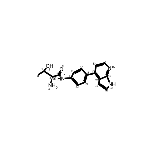 CC(O)[C@H](N)C(=O)Nc1ccc(-c2ccnc3[nH]ccc23)cc1